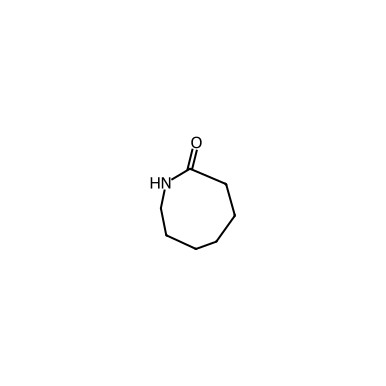 O=C1CCCCCCN1